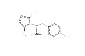 COC(=O)C(Cc1ccc(O)cc1)n1c(C)ccc1C